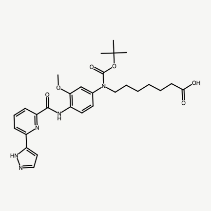 COc1cc(N(CCCCCCC(=O)O)C(=O)OC(C)(C)C)ccc1NC(=O)c1cccc(-c2ccn[nH]2)n1